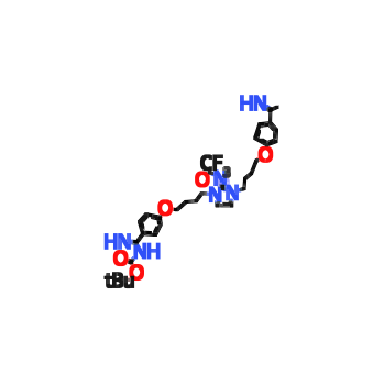 CC(=N)c1ccc(OCCCCn2ccn(CCCCOc3ccc(C(=N)NC(=O)OC(C)(C)C)cc3)/c2=N\C(=O)C(F)(F)F)cc1